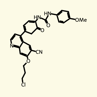 COc1ccc(NC(=O)NC2=CC=C(c3ccnc4cc(OCCCCl)c(C#N)cc34)CC2=O)cc1